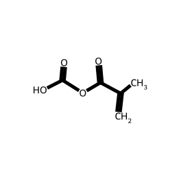 C=C(C)C(=O)OC(=O)O